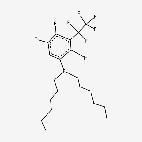 CCCCCCP(CCCCCC)c1cc(F)c(F)c(C(F)(F)C(F)(F)F)c1F